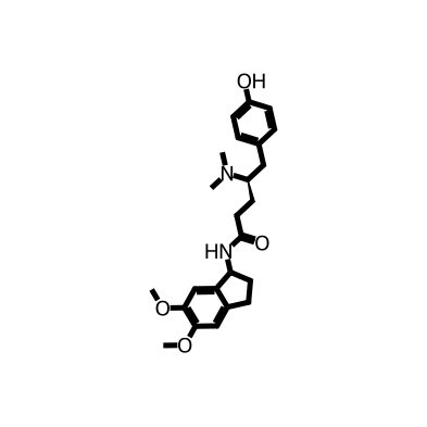 COc1cc2c(cc1OC)C(NC(=O)CC[C@H](Cc1ccc(O)cc1)N(C)C)CC2